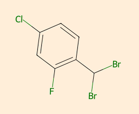 Fc1cc(Cl)ccc1C(Br)Br